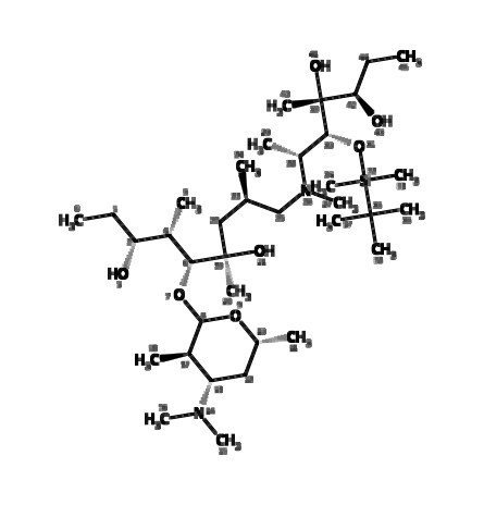 CC[C@@H](O)[C@H](C)[C@@H](OC1O[C@H](C)C[C@H](N(C)C)[C@H]1C)[C@](C)(O)C[C@@H](C)CN(C)[C@H](C)[C@@H](O[Si](C)(C)C(C)(C)C)[C@](C)(O)[C@H](O)CC